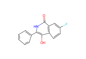 O=c1[nH]c(-c2ccccc2)c(O)c2ccc(F)cc12